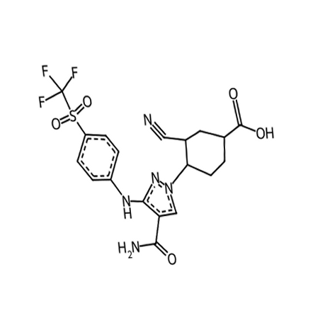 N#CC1CC(C(=O)O)CCC1n1cc(C(N)=O)c(Nc2ccc(S(=O)(=O)C(F)(F)F)cc2)n1